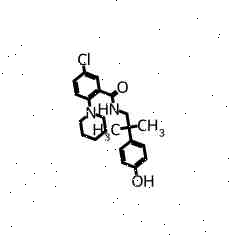 CC(C)(CNC(=O)c1cc(Cl)ccc1N1CCCCC1)c1ccc(O)cc1